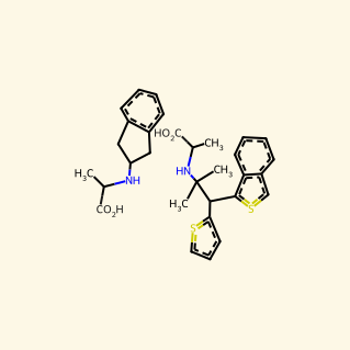 CC(NC(C)(C)C(c1cccs1)c1scc2ccccc12)C(=O)O.CC(NC1Cc2ccccc2C1)C(=O)O